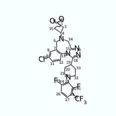 O=S1(=O)CC(N2Cc3cc(Cl)ccc3-n3c(nnc3C3CCN(c4c(F)ccc(C(F)(F)F)c4F)CC3)C2)C1